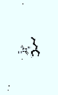 CCCCC(CC)CO.O=S(=O)(O)O.[Zn]